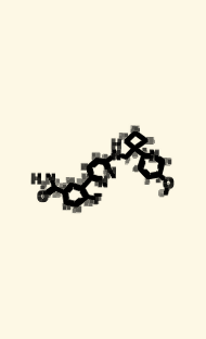 COc1ccc(C2(CNc3ccc(-c4cc(C(N)=O)ccc4F)nn3)CCC2)nc1